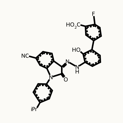 CC(C)c1ccc(N2C(=O)C(=NNc3cccc(-c4ccc(F)c(C(=O)O)c4)c3O)c3ccc(C#N)cc32)cc1